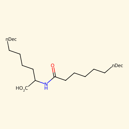 CCCCCCCCCCCCCCCC(=O)NC(CCCCCCCCCCCCCC)C(=O)O